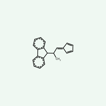 CC(C=C1C=CC=C1)C1c2ccccc2-c2ccccc21